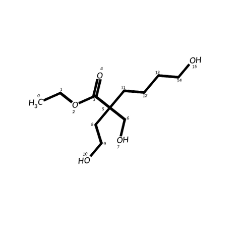 CCOC(=O)C(CO)(CCO)CCCCO